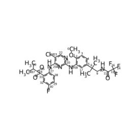 COc1ccc(C(C)(C)CNC(=O)C(F)(F)F)cc1Nc1ncc(Cl)c(Nc2ccc(F)cc2S(=O)(=O)C(C)C)n1